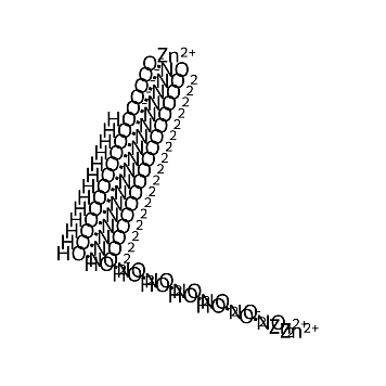 O=[N+]([O-])O.O=[N+]([O-])O.O=[N+]([O-])O.O=[N+]([O-])O.O=[N+]([O-])O.O=[N+]([O-])O.O=[N+]([O-])O.O=[N+]([O-])O.O=[N+]([O-])O.O=[N+]([O-])O.O=[N+]([O-])O.O=[N+]([O-])O.O=[N+]([O-])O.O=[N+]([O-])O.O=[N+]([O-])O.O=[N+]([O-])O.O=[N+]([O-])O.O=[N+]([O-])O.O=[N+]([O-])[O-].O=[N+]([O-])[O-].O=[N+]([O-])[O-].O=[N+]([O-])[O-].O=[N+]([O-])[O-].O=[N+]([O-])[O-].[Zn+2].[Zn+2].[Zn+2]